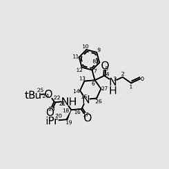 C=CCNC(=O)C1(c2ccccc2)CCN(C(=O)[C@@H](CC(C)C)NC(=O)OC(C)(C)C)CC1